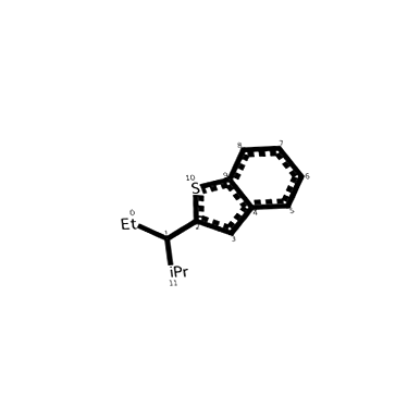 CCC(c1cc2ccccc2s1)C(C)C